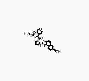 C#Cc1ccc2c(ccc3nc([C@@H]4CCCN4C(=O)[C@@H](NC(=O)OC)C4CCOCC4)[nH]c32)c1